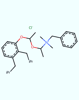 CC(C)Cc1cccc(OC(C)OC(C)[N+](C)(C)Cc2ccccc2)c1CC(C)C.[Cl-]